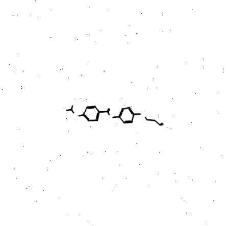 C=CCCOc1ccc(OC(=O)c2ccc(OC(C)CCCCCC)cc2)cc1